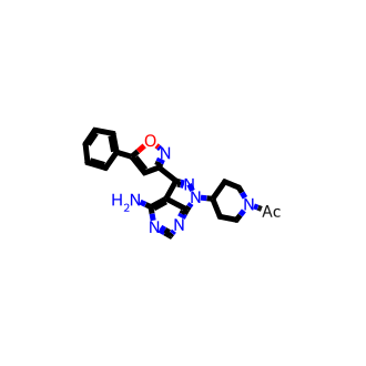 CC(=O)N1CCC(n2nc(-c3cc(-c4ccccc4)on3)c3c(N)ncnc32)CC1